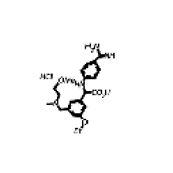 CCOc1cc(CN(C)CCOC)cc(C(Nc2ccc(C(=N)N)cc2)C(=O)O)c1.Cl